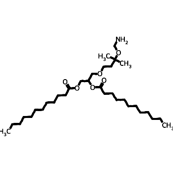 CCCCCCCCCCCC(=O)OCC(COCCC(C)(C)OCN)OC(=O)CCCCCCCCCCC